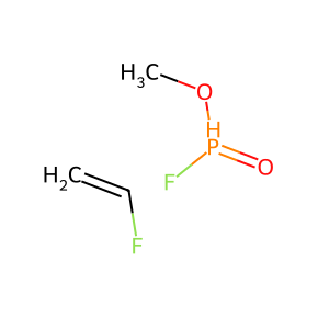 C=CF.CO[PH](=O)F